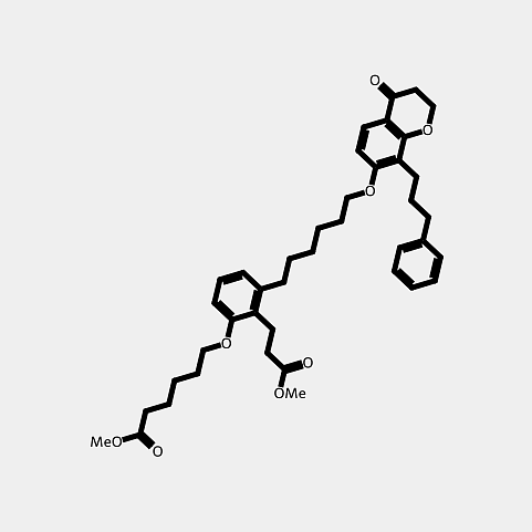 COC(=O)CCCCCOc1cccc(CCCCCCOc2ccc3c(c2CCCc2ccccc2)OCCC3=O)c1CCC(=O)OC